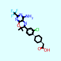 CC1(C)Oc2nc(C(F)(F)F)nc(N)c2N=C1c1ccc([C@H]2CC[C@H](CC(=O)O)CC2)c(Cl)c1